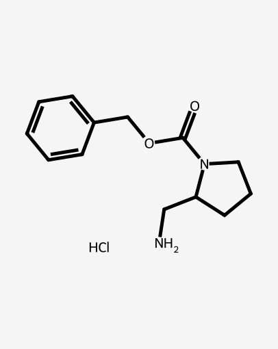 Cl.NCC1CCCN1C(=O)OCc1ccccc1